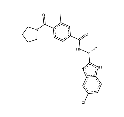 Cc1cc(C(=O)N[C@H](C)c2nc3cc(Cl)ccc3[nH]2)ccc1C(=O)N1CCCC1